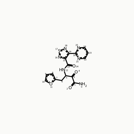 NC(=O)C(=O)C(Cc1ccco1)NC(=O)c1nsnc1-c1ncccn1